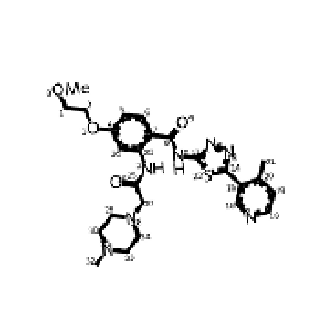 COCCOc1ccc(C(=O)Nc2nnc(-c3cnccc3C)s2)c(NC(=O)CN2CCN(C)CC2)c1